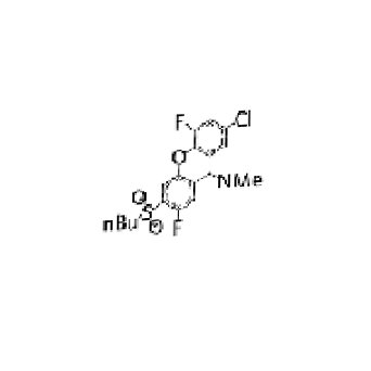 CCCCS(=O)(=O)c1cc(Oc2ccc(Cl)cc2F)c(CNC)cc1F